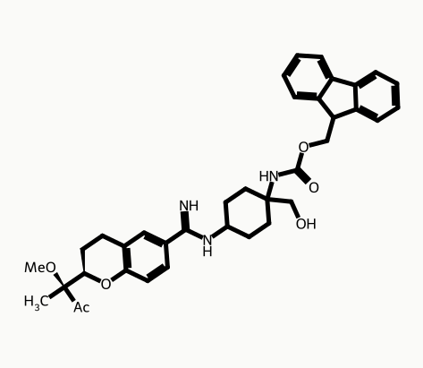 CO[C@](C)(C(C)=O)[C@H]1CCc2cc(C(=N)NC3CCC(CO)(NC(=O)OCC4c5ccccc5-c5ccccc54)CC3)ccc2O1